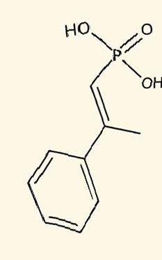 CC(=CP(=O)(O)O)c1ccccc1